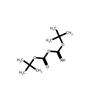 CC(C)(C)OC(=N)OC(=O)OC(C)(C)C